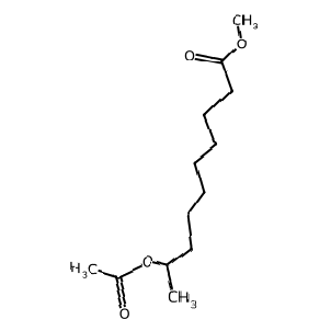 COC(=O)CCCCCCCC(C)OC(C)=O